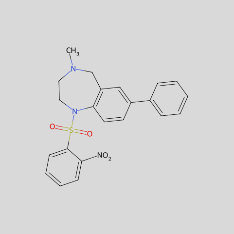 CN1CCN(S(=O)(=O)c2ccccc2[N+](=O)[O-])c2ccc(-c3ccccc3)cc2C1